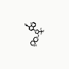 N#Cc1ccc(N2CC(C(F)(F)F)[C@@H](CN3CCC4(CCCNC4)CC3)C2)c2cccnc12